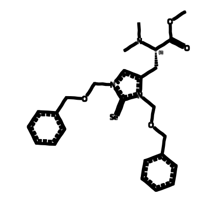 COC(=O)[C@H](Cc1cn(COCc2ccccc2)c(=[Se])n1COCc1ccccc1)N(C)C